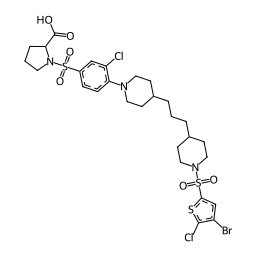 O=C(O)C1CCCN1S(=O)(=O)c1ccc(N2CCC(CCCC3CCN(S(=O)(=O)c4cc(Br)c(Cl)s4)CC3)CC2)c(Cl)c1